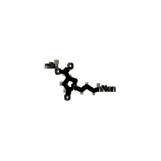 CCCCCCCCCCCCN1CC(C(=O)OCCCC)CC1=O